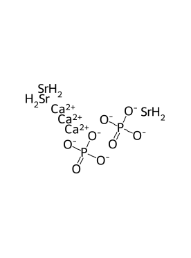 O=P([O-])([O-])[O-].O=P([O-])([O-])[O-].[Ca+2].[Ca+2].[Ca+2].[SrH2].[SrH2].[SrH2]